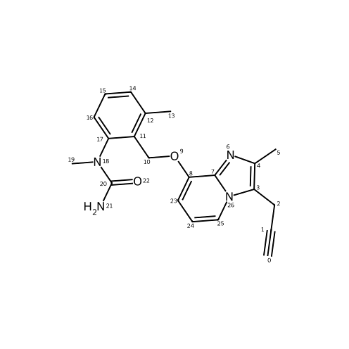 C#CCc1c(C)nc2c(OCc3c(C)cccc3N(C)C(N)=O)cccn12